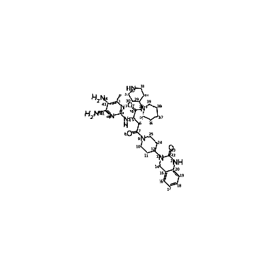 Cc1nc(NC(CC(=O)N2CCC(N3Cc4ccccc4NC3=O)CC2)C(=O)[N+]2(C3CCNCC3)CCCCC2)nc(N)c1N